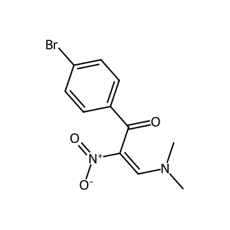 CN(C)/C=C(\C(=O)c1ccc(Br)cc1)[N+](=O)[O-]